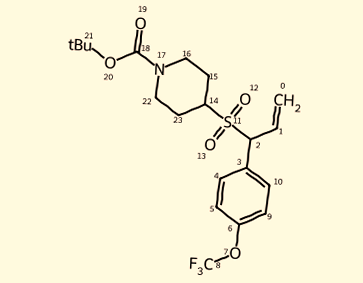 C=CC(c1ccc(OC(F)(F)F)cc1)S(=O)(=O)C1CCN(C(=O)OC(C)(C)C)CC1